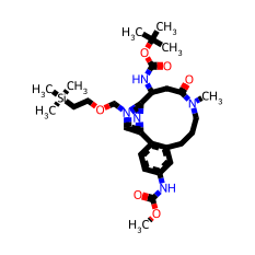 COC(=O)Nc1ccc2c(c1)CCCN(C)C(=O)CC(NC(=O)OC(C)(C)C)c1nc-2cn1COCC[Si](C)(C)C